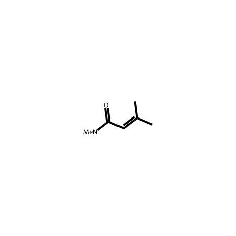 [CH2]NC(=O)C=C(C)C